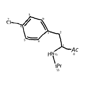 CC(=O)C(Cc1ccc(Cl)cc1)NC(C)C